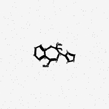 COC1=NN(c2ncon2)C(C)(OC)Cc2ccccc21